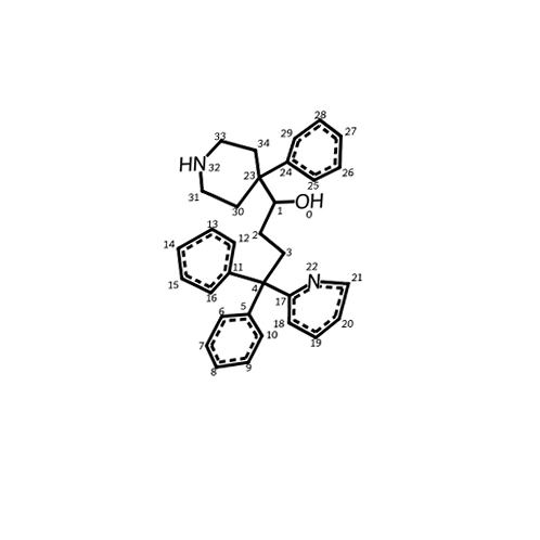 OC(CCC(c1ccccc1)(c1ccccc1)c1ccccn1)C1(c2ccccc2)CCNCC1